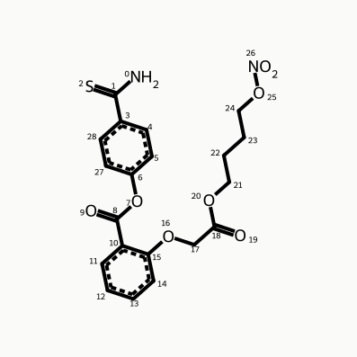 NC(=S)c1ccc(OC(=O)c2ccccc2OCC(=O)OCCCCO[N+](=O)[O-])cc1